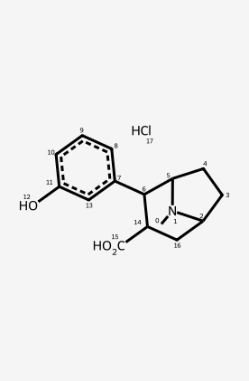 CN1C2CCC1C(c1cccc(O)c1)C(C(=O)O)C2.Cl